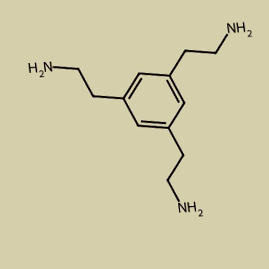 NCCc1cc(CCN)cc(CCN)c1